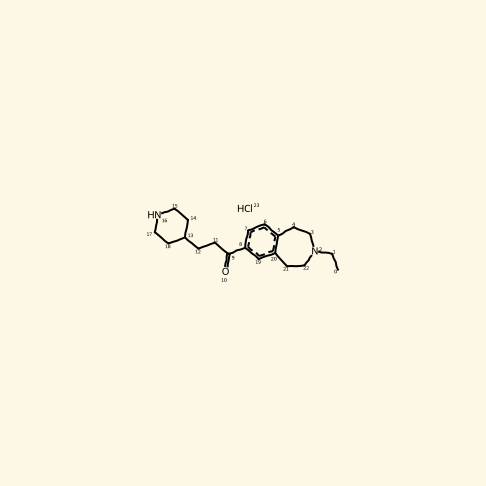 CCN1CCc2ccc(C(=O)CCC3CCNCC3)cc2CC1.Cl